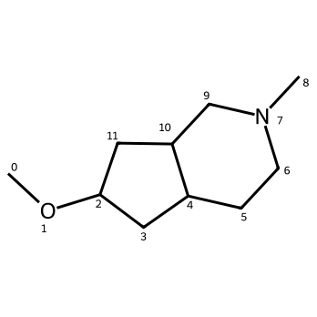 COC1CC2CCN(C)CC2C1